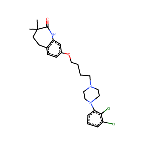 CC1(C)CCc2ccc(OCCCCN3CCN(c4cccc(Cl)c4Cl)CC3)cc2NC1=O